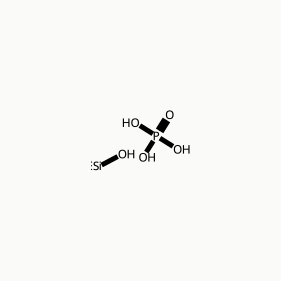 O=P(O)(O)O.O[Si]